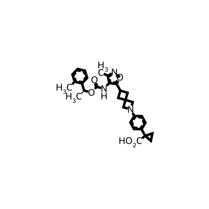 Cc1ccccc1[C@@H](C)OC(=O)Nc1c(C)noc1C1CC2(C1)CN(c1ccc(C3(C(=O)O)CC3)cc1)C2